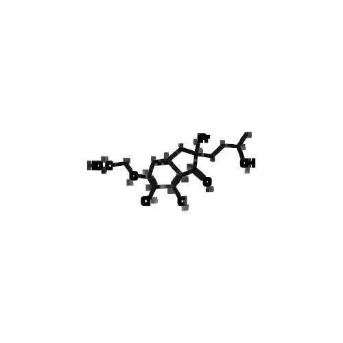 CC(O)CCC1(C(C)C)Cc2cc(OCC(=O)O)c(Cl)c(Cl)c2C1=O